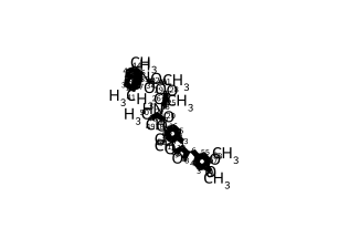 COc1ccc(C[C@H]2COC(=O)[C@@H]2Cc2ccc(OC(=O)[C@H](NCC(C)(C)C(=O)OC(C)OC(=O)NC34CC5CC(C)(CC(C)(C5)C3)C4)C(C)C)c(OC)c2)cc1OC